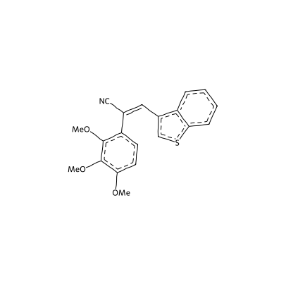 COc1ccc(C(C#N)=Cc2csc3ccccc23)c(OC)c1OC